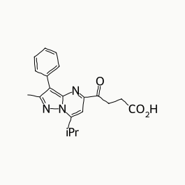 Cc1nn2c(C(C)C)cc(C(=O)CCC(=O)O)nc2c1-c1ccccc1